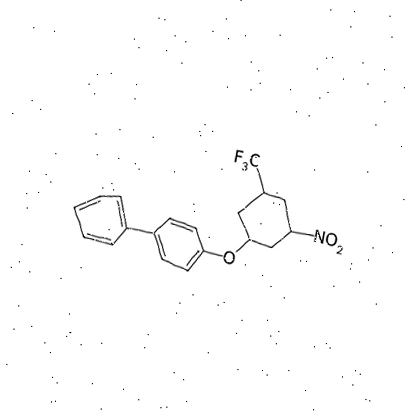 O=[N+]([O-])C1CC(Oc2ccc(-c3ccccc3)cc2)CC(C(F)(F)F)C1